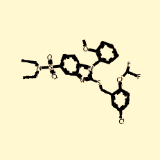 CCN(CC)S(=O)(=O)c1ccc2c(c1)nc(SCc1cc(Cl)ccc1OC(F)F)n2-c1ccccc1OC